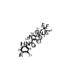 C=C=CN([C@H](C)C(F)(F)F)S(=O)(=O)c1cn(C)c(C(=O)Nc2ccc(F)c(C)c2)c1Cl